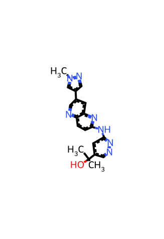 Cn1cc(-c2cnc3ccc(Nc4cc(C(C)(C)O)cnn4)nc3c2)cn1